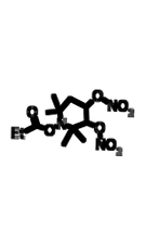 CCC(=O)ON1C(C)(C)CC(O[N+](=O)[O-])C(O[N+](=O)[O-])C1(C)C